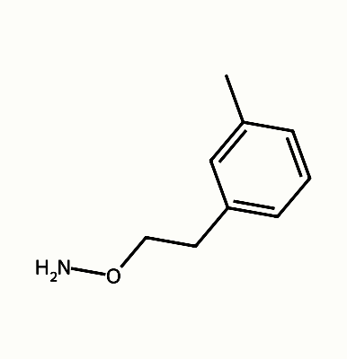 Cc1cccc(CCON)c1